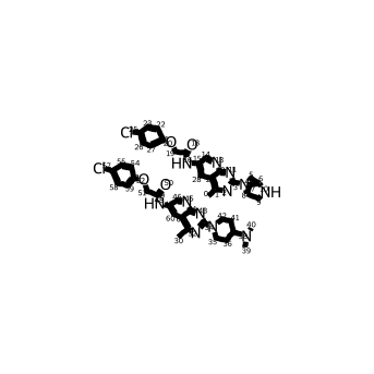 Cc1nc(N2CC3CC2CN3)nc2ncc(NC(=O)COc3ccc(Cl)cc3)cc12.Cc1nc(N2CCC(N(C)C)CC2)nc2ncc(NC(=O)COc3ccc(Cl)cc3)cc12